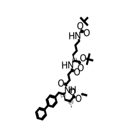 CCOC(=O)[C@H](C)C[C@@H](Cc1ccc(-c2ccccc2)cc1)NC(=O)CCC(=O)N[C@@H](CCCCNC(=O)OC(C)(C)C)C(=O)OC(C)(C)C